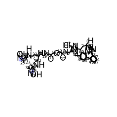 CCCCc1nc(Cl)c(CNC(=O)COCC(=O)NCCC(CCNC(C)(C)/C(C)=N\O)CCNC(C)(C)/C(C)=N\O)n1Cc1ccc(-c2ccccc2-c2nn[nH]n2)cc1